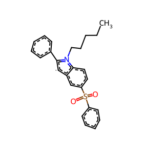 CCCCCn1c(-c2ccccc2)[c]c2cc(S(=O)(=O)c3ccccc3)ccc21